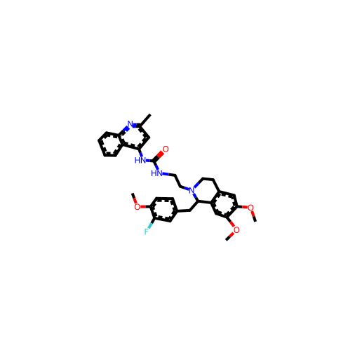 COc1ccc(CC2c3cc(OC)c(OC)cc3CCN2CCNC(=O)Nc2cc(C)nc3ccccc23)cc1F